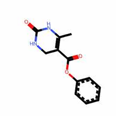 CC1=C(C(=O)Oc2ccccc2)CNC(=O)N1